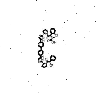 CO[C@@H](C(=O)N1CCC[C@H]1c1ncc(-c2ccc(-c3ccc(-c4cnc([C@@H]5CCCN5C(=O)[C@@H](c5ccccc5Cl)N(C)C(=O)O)[nH]4)cc3)cc2)[nH]1)c1ccccc1